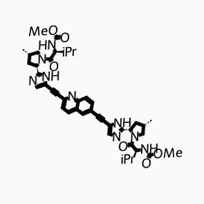 COC(=O)N[C@H](C(=O)N1C[C@@H](C)C[C@H]1c1ncc(C#Cc2ccc3nc(C#Cc4cnc([C@@H]5C[C@H](C)CN5C(=O)[C@@H](NC(=O)OC)C(C)C)[nH]4)ccc3c2)[nH]1)C(C)C